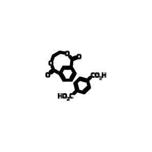 O=C(O)c1ccc(C(=O)O)cc1.O=C1OCCOC(=O)c2cccc1c2